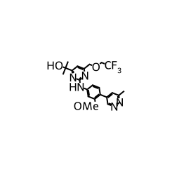 COc1cc(Nc2nc(COCC(F)(F)F)cc(C(C)(C)O)n2)ccc1-c1cnnc(C)c1